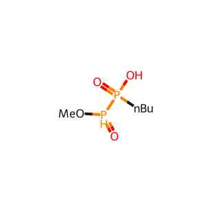 CCCCP(=O)(O)[PH](=O)OC